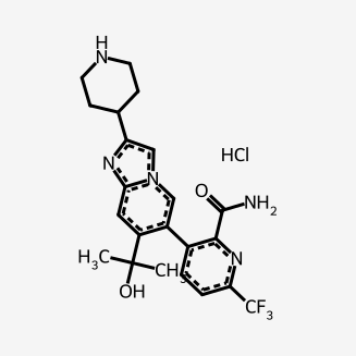 CC(C)(O)c1cc2nc(C3CCNCC3)cn2cc1-c1ccc(C(F)(F)F)nc1C(N)=O.Cl